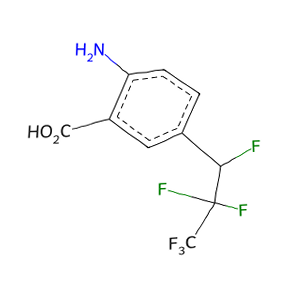 Nc1ccc(C(F)C(F)(F)C(F)(F)F)cc1C(=O)O